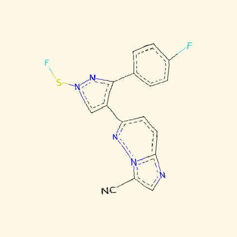 N#Cc1cnc2ccc(-c3cn(SF)nc3-c3ccc(F)cc3)nn12